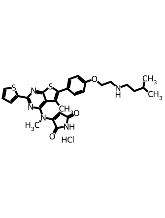 Cc1c(-c2ccc(OCCNCCC(C)C)cc2)sc2nc(-c3cccs3)nc(N(C)C3=CC(=O)NC3=O)c12.Cl